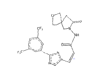 O=C(/C=C\n1cnc(-c2cc(C(F)(F)F)cc(C(F)(F)F)c2)n1)NN1CC2(COC2)CC1=O